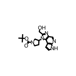 CC(C)(C)OC(=O)N1CCC(n2c(CO)nc3cnc4[nH]ccc4c32)C1